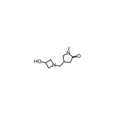 CN1CC(CN2CC(O)C2)CC1=O